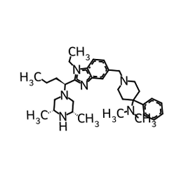 CCC[C@@H](c1nc2cc(CN3CCC(c4ccccc4)(N(C)C)CC3)ccc2n1CC)N1C[C@@H](C)N[C@@H](C)C1